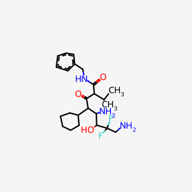 CC(C)C(C(=O)NCc1ccccc1)C(=O)C(C1CCCCC1)C(N)C(O)C(F)(F)CN